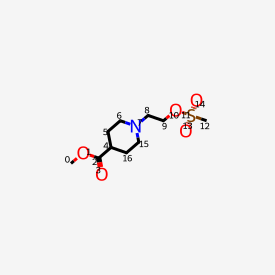 COC(=O)C1CCN(CCOS(C)(=O)=O)CC1